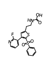 O=C(O)NCCc1cc(-c2cccnc2F)c(S(=O)(=O)c2ccccc2)s1